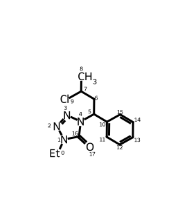 CCn1nnn(C(CC(C)Cl)c2ccccc2)c1=O